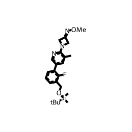 CON=C1CN(c2ncc(-c3cccc(CO[Si](C)(C)C(C)(C)C)c3F)cc2C)C1